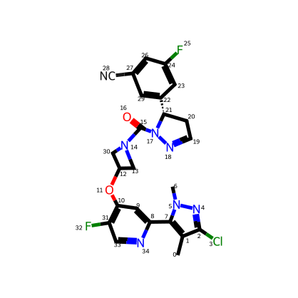 Cc1c(Cl)nn(C)c1-c1cc(OC2CN(C(=O)N3N=CC[C@H]3c3cc(F)cc(C#N)c3)C2)c(F)cn1